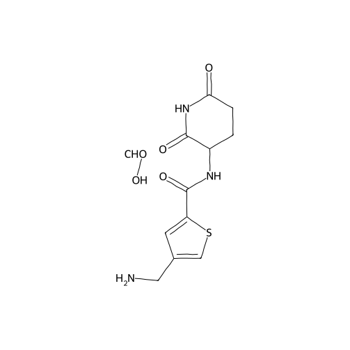 NCc1csc(C(=O)NC2CCC(=O)NC2=O)c1.O=CO